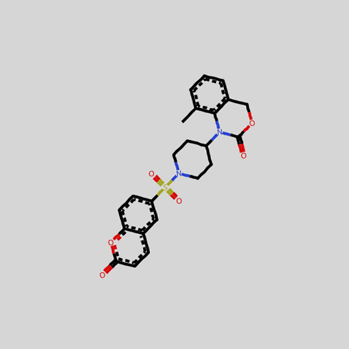 Cc1cccc2c1N(C1CCN(S(=O)(=O)c3ccc4oc(=O)ccc4c3)CC1)C(=O)OC2